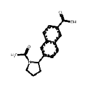 CC(=O)N1CCCC1c1ccc2cc(C(=O)O)ccc2c1